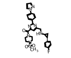 CS(=O)(=O)N1CCN(C(=O)c2cc(CNC3C[C@H]3c3ccc(F)cc3)nc(-c3ccc(-n4cccn4)cc3)n2)CC1